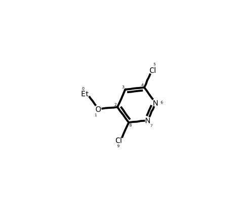 CCOc1cc(Cl)nnc1Cl